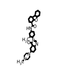 Cc1cc(NC(=O)c2cccc3c2oc2ccccc23)ccc1-n1cnc2ccc(N3CCN(C)CC3)cc2c1=O